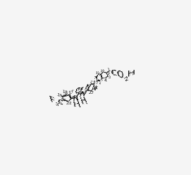 O=C(O)CC1CCc2cc(-c3cnc(NC(=O)Nc4cccc(C(F)(F)F)c4)cn3)ccc2C1